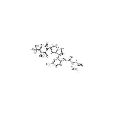 CCN(CC)C(=O)COc1ccc(C)cc1-c1nsc2ccc(-n3c(=O)cc(C(F)(F)F)n(C)c3=O)cc12